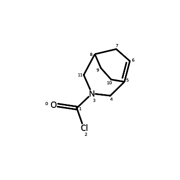 O=C(Cl)N1CC2=CCC(CC2)C1